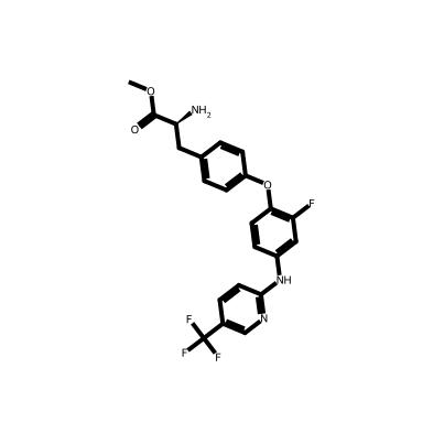 COC(=O)[C@@H](N)Cc1ccc(Oc2ccc(Nc3ccc(C(F)(F)F)cn3)cc2F)cc1